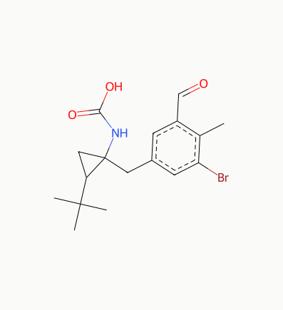 Cc1c(Br)cc(CC2(NC(=O)O)CC2C(C)(C)C)cc1C=O